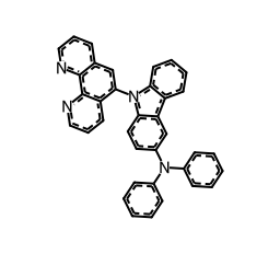 c1ccc(N(c2ccccc2)c2ccc3c(c2)c2ccccc2n3-c2cc3cccnc3c3ncccc23)cc1